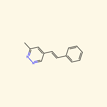 Cc1cc(C=Cc2ccccc2)cnn1